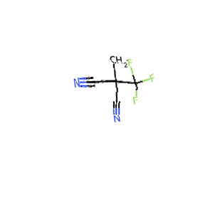 [CH2]C(C#N)(C#N)C(F)(F)F